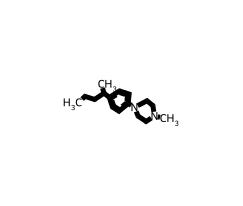 CCCC(C)c1ccc(N2CCN(C)CC2)cc1